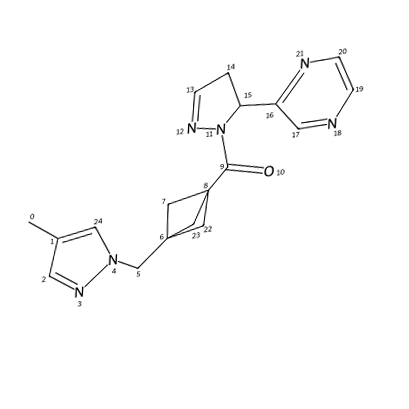 Cc1cnn(CC23CC(C(=O)N4N=CCC4c4cnccn4)(C2)C3)c1